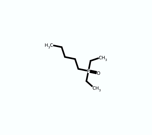 CCCCCP(=O)(CC)CC